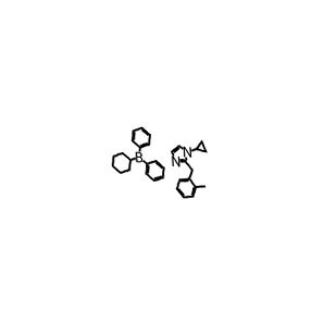 Cc1ccccc1Cc1nccn1C1CC1.c1ccc(B(c2ccccc2)C2CCCCC2)cc1